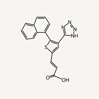 O=C(O)/C=C/c1cc(-c2nnn[nH]2)c(-c2cccc3ccccc23)s1